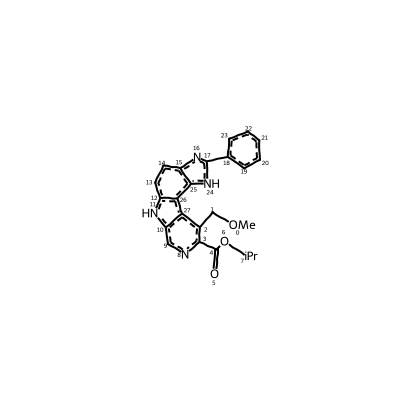 COCc1c(C(=O)OC(C)C)ncc2[nH]c3ccc4nc(-c5ccccc5)[nH]c4c3c12